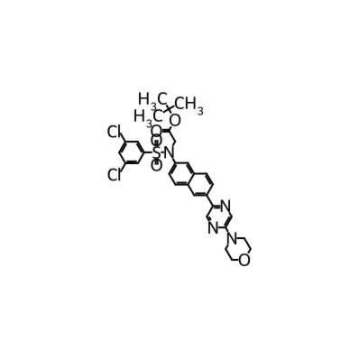 CC(C)(C)OC(=O)CN(c1ccc2cc(-c3cnc(N4CCOCC4)cn3)ccc2c1)S(=O)(=O)c1cc(Cl)cc(Cl)c1